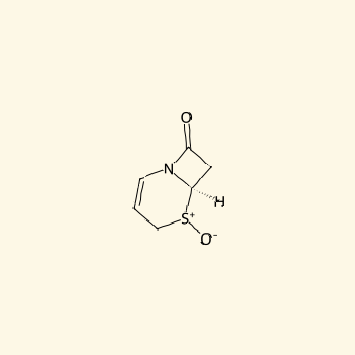 O=C1C[C@@H]2N1C=CC[S+]2[O-]